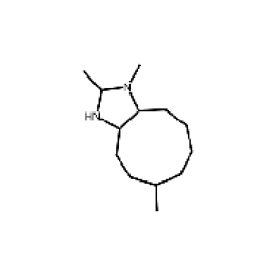 CC1CCCCC2C(CC1)NC(C)N2C